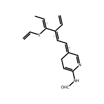 C=CSC(=C\C)/C(C=C)=C/C=C1/C=NC(NC=O)=CC1